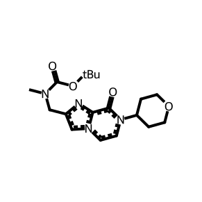 CN(Cc1cn2ccn(C3CCOCC3)c(=O)c2n1)C(=O)OC(C)(C)C